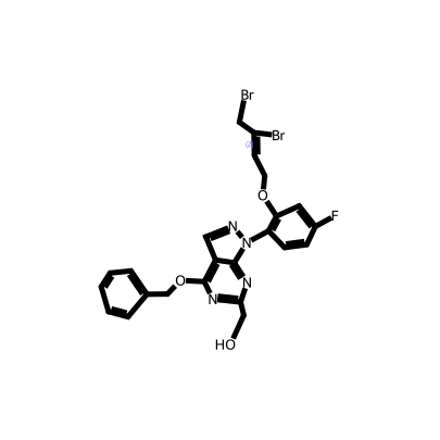 OCc1nc(OCc2ccccc2)c2cnn(-c3ccc(F)cc3OC/C=C(\Br)CBr)c2n1